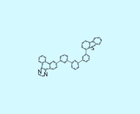 c1cc(-c2cccc(-c3ccc4c(c3)c3ccccc3c3nccnc43)c2)cc(-c2cccc(-c3cccc4c3sc3ccccc34)c2)c1